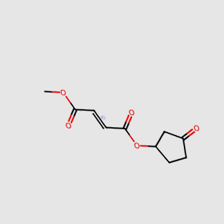 COC(=O)/C=C/C(=O)OC1CCC(=O)C1